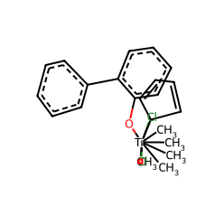 [CH3][Ti]([CH3])([CH3])([CH3])([CH3])([Cl])([Cl])([O]c1ccccc1-c1ccccc1)[CH]1C=CC=C1